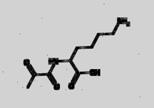 CC(=O)C(=O)NC(CCCCN)C(=O)O